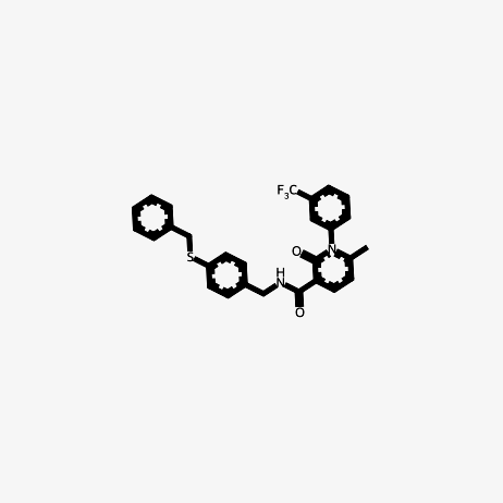 Cc1ccc(C(=O)NCc2ccc(SCc3ccccc3)cc2)c(=O)n1-c1cccc(C(F)(F)F)c1